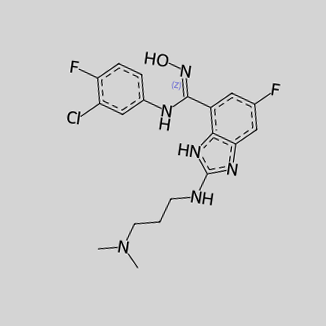 CN(C)CCCNc1nc2cc(F)cc(/C(=N/O)Nc3ccc(F)c(Cl)c3)c2[nH]1